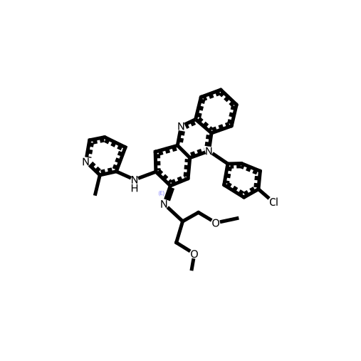 COCC(COC)/N=c1\cc2n(-c3ccc(Cl)cc3)c3ccccc3nc-2cc1Nc1cccnc1C